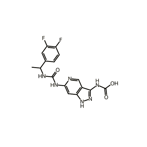 CC(NC(=O)Nc1cc2[nH]nc(NC(=O)O)c2cn1)c1ccc(F)c(F)c1